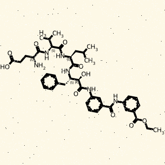 CCOC(=O)c1cccc(NC(=O)c2cccc(NC(=O)[C@H](O)[C@H](Cc3ccccc3)NC(=O)[C@H](CC(C)C)NC(=O)[C@@H](NC(=O)[C@@H](N)CCC(=O)O)C(C)C)c2)c1